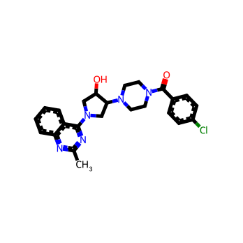 Cc1nc(N2CC(O)C(N3CCN(C(=O)c4ccc(Cl)cc4)CC3)C2)c2ccccc2n1